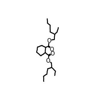 CCCCC(CC)COC(=O)C1CCCCC1C(=O)OCC(CC)CCCC